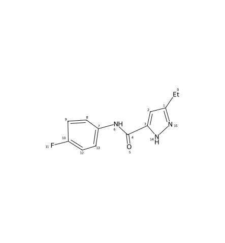 CCc1cc(C(=O)Nc2ccc(F)cc2)[nH]n1